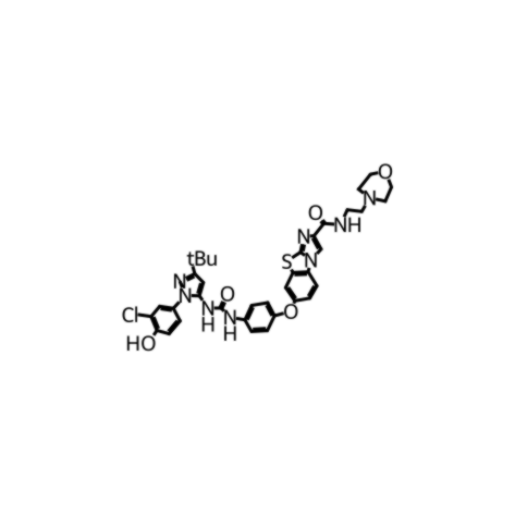 CC(C)(C)c1cc(NC(=O)Nc2ccc(Oc3ccc4c(c3)sc3nc(C(=O)NCCN5CCOCC5)cn34)cc2)n(-c2ccc(O)c(Cl)c2)n1